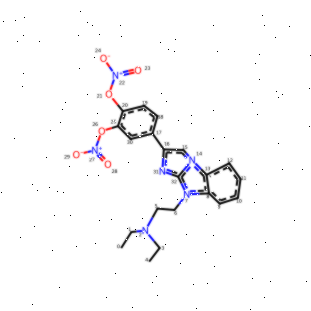 CCN(CC)CCn1c2ccccc2n2cc(-c3ccc(O[N+](=O)[O-])c(O[N+](=O)[O-])c3)nc12